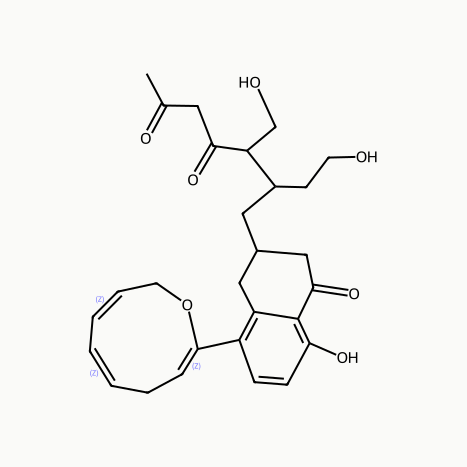 CC(=O)CC(=O)C(CO)C(CCO)CC1CC(=O)c2c(O)ccc(/C3=C/C/C=C\C=C/CO3)c2C1